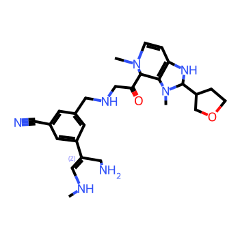 CN/C=C(\CN)c1cc(C#N)cc(CNCC(=O)C2C3=C(C=CN2C)NC(C2CCOC2)N3C)c1